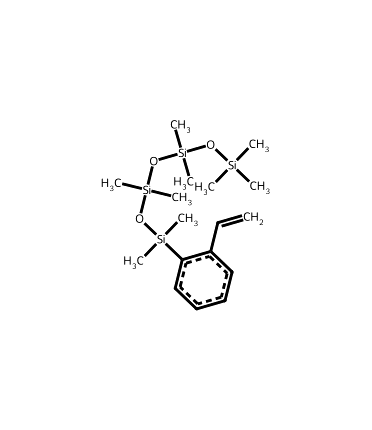 C=Cc1ccccc1[Si](C)(C)O[Si](C)(C)O[Si](C)(C)O[Si](C)(C)C